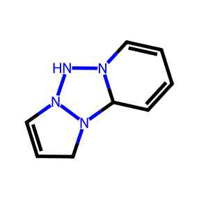 C1=CC2N(C=C1)NN1C=CCN21